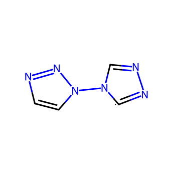 [c]1nncn1-n1ccnn1